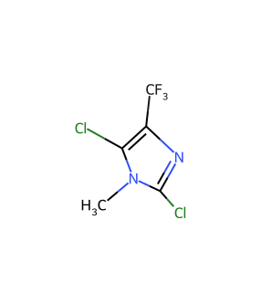 Cn1c(Cl)nc(C(F)(F)F)c1Cl